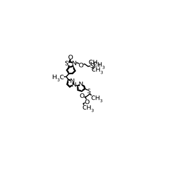 CCOC(=O)C(C)Sc1ccc(-n2ccc(C(C)c3ccc4c(c3)sc(=O)n4COCC[Si](C)(C)C)n2)nc1